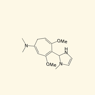 COC1=CCC(N(C)C)=CC(OC)=C1C1NC=CN1C